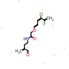 C=C(C=O)CCNC(=O)CO/C=C/C=C(/Cl)C(=C)F